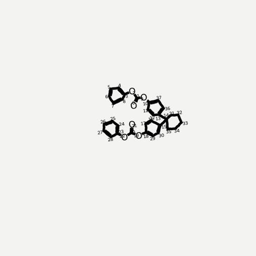 O=C(Oc1ccccc1)Oc1ccc(C2(c3ccc(OC(=O)Oc4ccccc4)cc3)CCCCC2)cc1